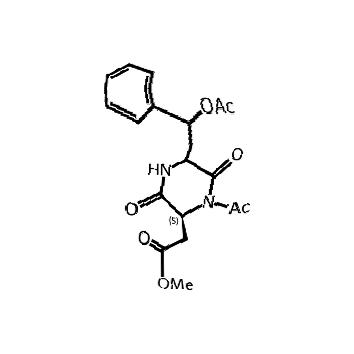 COC(=O)C[C@H]1C(=O)NC(C(OC(C)=O)c2ccccc2)C(=O)N1C(C)=O